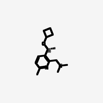 Cc1ccc([C@@H](C)OC2CCC2)c(CN(C)C)n1